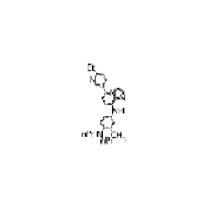 CCCN(CCC)c1ccc(Nc2ccc(-c3ccc(CC)nc3)n3ccnc23)cc1C